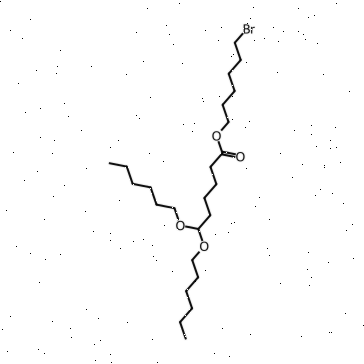 CCCCCCOC(CCCCC(=O)OCCCCCCBr)OCCCCCC